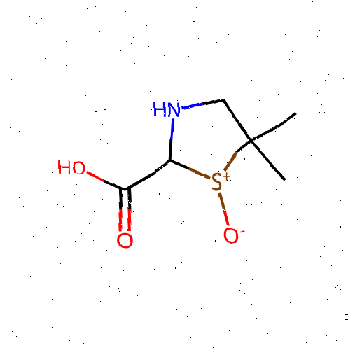 CC1(C)CNC(C(=O)O)[S+]1[O-]